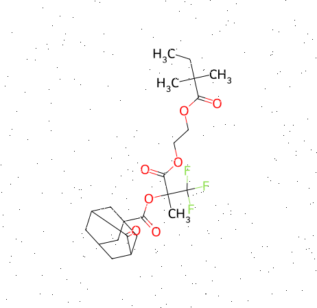 CCC(C)(C)C(=O)OCCOC(=O)C(C)(OC(=O)C12CC3CC(C1)C(=O)C(C3)C2)C(F)(F)F